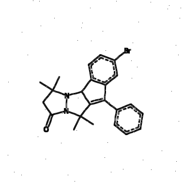 CC1(C)CC(=O)N2N1C1C(=C(c3ccccc3)c3cc(Br)ccc31)C2(C)C